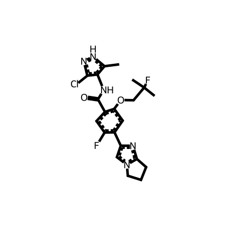 Cc1[nH]nc(Cl)c1NC(=O)c1cc(F)c(-c2cn3c(n2)CCC3)cc1OCC(C)(C)F